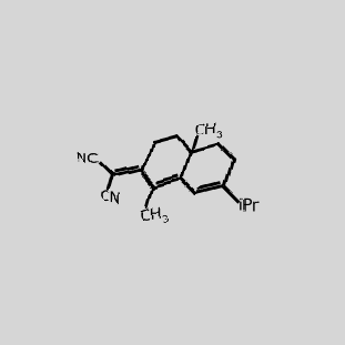 CC1=C2C=C(C(C)C)CCC2(C)CCC1=C(C#N)C#N